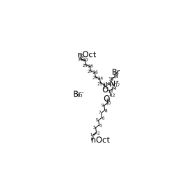 CCCCCCCC/C=C/CCCCCCCCOCC(C[N+](C)(C)CCBr)OCCCCCCCC/C=C/CCCCCCCC.[Br-]